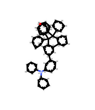 c1ccc(N(c2ccccc2)c2cccc(-c3ccc4c(c3)-c3ccccc3C(c3ccccc3)(c3ccccc3)C4(c3ccccc3)c3ccccc3)c2)cc1